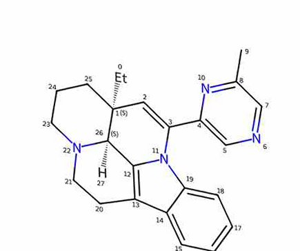 CC[C@@]12C=C(c3cncc(C)n3)n3c4c(c5ccccc53)CCN(CCC1)[C@H]42